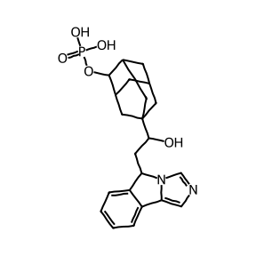 O=P(O)(O)OC1C2CC3CC1CC(C(O)CC1c4ccccc4-c4cncn41)(C3)C2